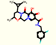 CC1CC(C2C(C)C2C)N2C(=O)c3c(O)c(=O)c(C(=O)NCc4ccc(F)cc4F)cn3CC2O1